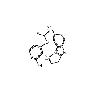 Nc1cccc(OC(F)F)c1[C@H]1CCc2nc3ccc(Cl)cc3n21